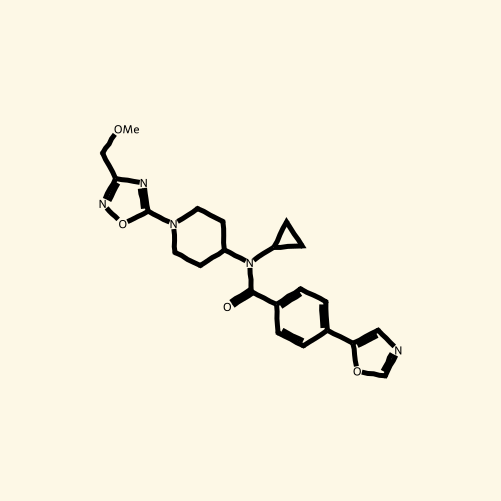 COCc1noc(N2CCC(N(C(=O)c3ccc(-c4cnco4)cc3)C3CC3)CC2)n1